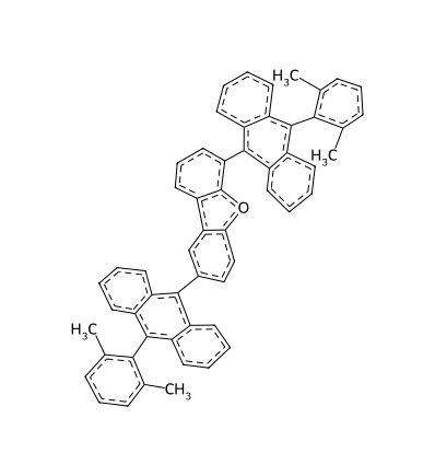 Cc1cccc(C)c1-c1c2ccccc2c(-c2ccc3oc4c(-c5c6ccccc6c(-c6c(C)cccc6C)c6ccccc56)cccc4c3c2)c2ccccc12